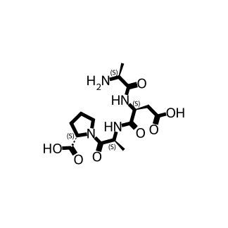 C[C@H](N)C(=O)N[C@@H](CC(=O)O)C(=O)N[C@@H](C)C(=O)N1CCC[C@H]1C(=O)O